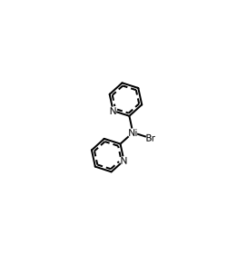 [Br][Ni]([c]1ccccn1)[c]1ccccn1